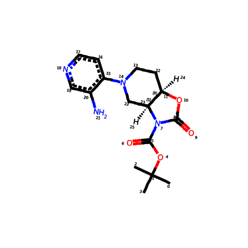 CC(C)(C)OC(=O)N1C(=O)O[C@@H]2CCN(c3ccncc3N)C[C@@H]21